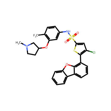 CN1CCC(Oc2cc(NS(=O)(=O)c3cc(Cl)c(-c4cccc5c4oc4ccccc45)s3)ccc2C(F)(F)F)C1